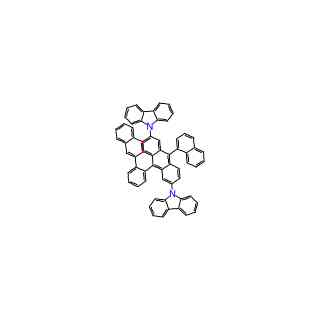 c1ccc(-c2c3cc(-n4c5ccccc5c5ccccc54)ccc3c(-c3cccc4ccccc34)c3cc(-n4c5ccccc5c5ccccc54)ccc23)c(-c2ccc3ccccc3c2)c1